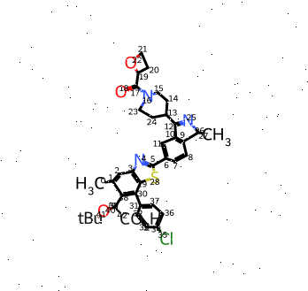 Cc1cc2nc(-c3ccc4c(c3)C(C3CCN(C(=O)C5CCO5)CC3)=NC4C)sc2c(-c2ccc(Cl)cc2)c1[C@H](OC(C)(C)C)C(=O)O